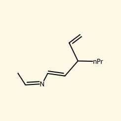 C=CC(/C=C/N=C\C)CCC